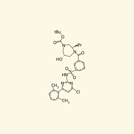 Cc1cccc(C)c1-c1cc(Cl)nc(NS(=O)(=O)c2cccc(C(=O)N3C[C@H](O)CN(C(=O)OC(C)(C)C)C[C@H]3C(C)C)c2)n1